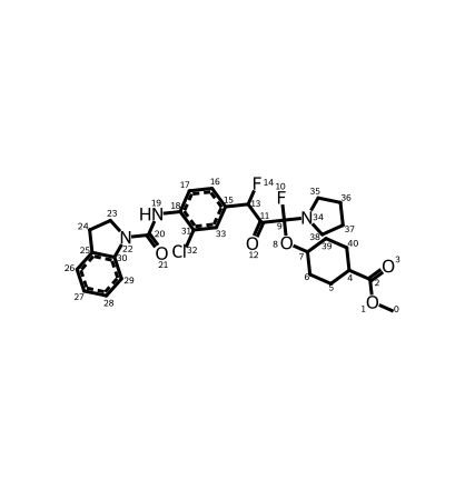 COC(=O)C1CCC(OC(F)(C(=O)C(F)c2ccc(NC(=O)N3CCc4ccccc43)c(Cl)c2)N2CCCC2)CC1